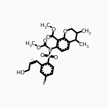 COC(=O)c1c(N(C(=O)OC)S(=O)(=O)c2ccc(F)cc2/C=C\CO)ccc2c1OCC(C)C2C